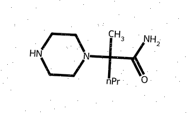 CCCC(C)(C(N)=O)N1CCNCC1